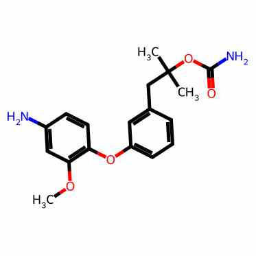 COc1cc(N)ccc1Oc1cccc(CC(C)(C)OC(N)=O)c1